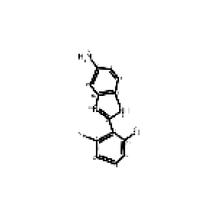 Nc1ccc2[nH]c(-c3c(F)cccc3Cl)nc2c1